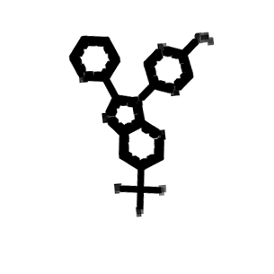 Cc1cnc(-n2c(-c3ccccn3)nc3cc(C(F)(F)F)cnc32)cn1